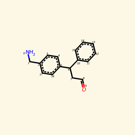 NCc1ccc(C(CC=O)c2ccccc2)cc1